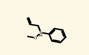 C=CC[SiH](OC)c1ccccc1